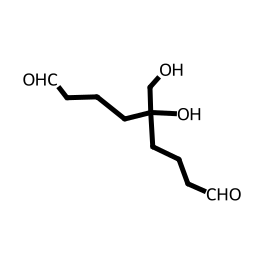 O=CCCCC(O)(CO)CCCC=O